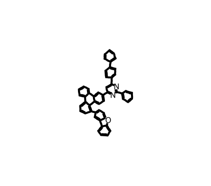 c1ccc(-c2ccc(-c3cc(-c4ccc5c(c4)c4ccccc4c4cccc(-c6ccc7oc8ccccc8c7c6)c45)nc(-c4ccccc4)n3)cc2)cc1